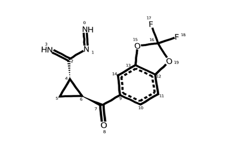 N=NC(=N)[C@H]1C[C@@H]1C(=O)c1ccc2c(c1)OC(F)(F)O2